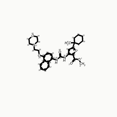 COC(=O)c1sc(C2(C)CCCCC2)cc1NC(=O)Nc1ccc(OCCN2CCOCC2)c2ccccc12